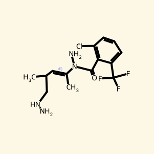 C/C(=C\C(C)CNN)N(N)C(=O)c1c(Cl)cccc1C(F)(F)F